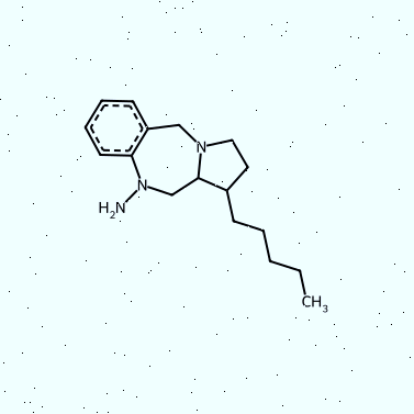 CCCCCC1CCN2Cc3ccccc3N(N)CC12